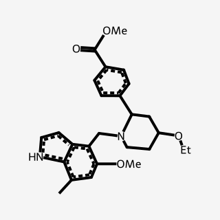 CCOC1CCN(Cc2c(OC)cc(C)c3[nH]ccc23)C(c2ccc(C(=O)OC)cc2)C1